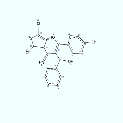 N=C(/C(=C(\O)c1ccc(Cl)cc1)C(O)c1cccnc1)C1C=C(Cl)SC1Cl